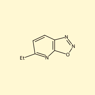 CCc1ccc2nnoc2n1